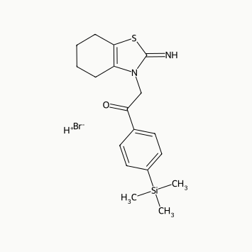 C[Si](C)(C)c1ccc(C(=O)Cn2c3c(sc2=N)CCCC3)cc1.[Br-].[H+]